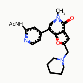 CC(=O)Nc1cc(-c2cn(C)c(=O)c3cc(CN4CCCCC4)oc23)ccn1